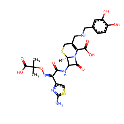 CC(C)(O/N=C(\C(=O)NC1C(=O)N2C(C(=O)O)=C(CNCc3ccc(O)c(O)c3)CS[C@H]12)c1csc(N)n1)C(=O)O